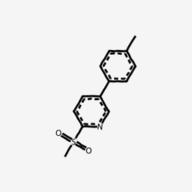 Cc1ccc(-c2ccc(S(C)(=O)=O)nc2)cc1